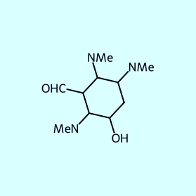 CNC1CC(O)C(NC)C(C=O)C1NC